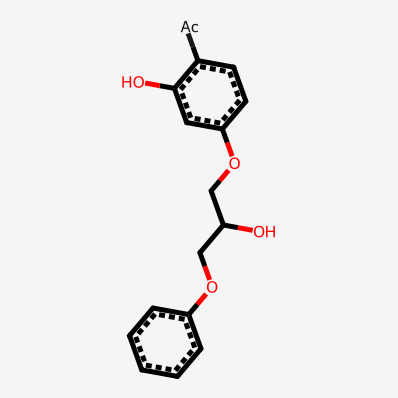 CC(=O)c1ccc(OCC(O)COc2ccccc2)cc1O